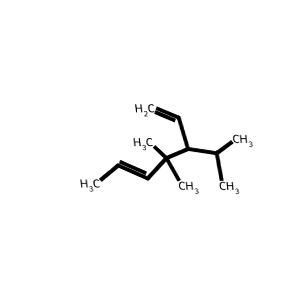 C=CC([C](C)C)C(C)(C)C=CC